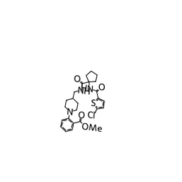 COC(=O)c1ccccc1N1CCC(CNC(=O)C2(NC(=O)c3ccc(Cl)s3)CCCC2)CC1